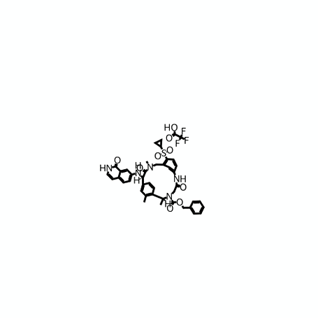 Cc1cc2ccc1[C@@H](C)N(C(=O)OCc1ccccc1)CC(=O)Nc1ccc(S(=O)(=O)C3CC3)c(c1)CN(C)C(=O)[C@@H]2Nc1ccc2cc[nH]c(=O)c2c1.O=C(O)C(F)(F)F